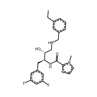 CCc1cccc(CNC[C@@H](O)[C@H](Cc2cc(F)cc(F)c2)NC(=O)c2nccn2C)c1